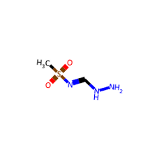 CS(=O)(=O)N=CNN